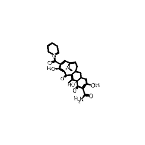 CC1=C2C(=O)/C=C(O)/C(C(=O)N3CCCCC3)=C\C(N(C)C)=C\CC2CC2CC(O)=C(C(N)=O)C(=O)[C@@]12O